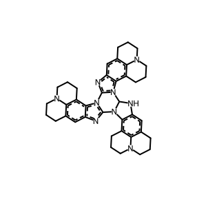 c1c2c3c(c4c1NC1N4c4nc5cc6c7c(c5n4-c4nc5cc8c9c(c5n41)CCCN9CCC8)CCCN7CCC6)CCCN3CCC2